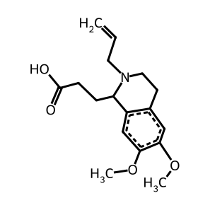 C=CCN1CCc2cc(OC)c(OC)cc2C1CCC(=O)O